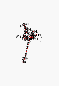 C=CCOC(=O)O[C@@H]1[C@@H](OC(=O)OCC=C)[C@H](Oc2ccc(COC(=O)N3c4cc(OCCCC(=O)Nc5cc(C(=O)Nc6ccc(NC(=O)OC(C)(C)C)cc6)n(C)c5)c(OC)cc4C(=O)N4CCCC[C@H]4C3O)cc2NC(=O)CCOCCOCCOCCOCCOCCOCCOCCOCCNC(=O)OCC2c3ccccc3-c3ccccc32)O[C@H](C(=O)OCC=C)[C@H]1OC(=O)OCC=C